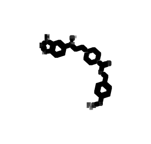 O=C(OCc1ccc(OC(F)(F)F)cc1)N1CCN(CC[S@@+]([O-])c2ccc3nn[nH]c3c2)CC1